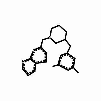 Cc1cc(CC2CCCN(Cc3ccc4cccnc4n3)C2)cc(C)n1